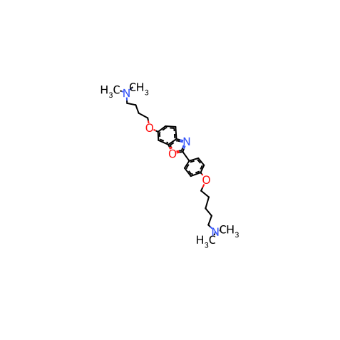 CN(C)CCCCCOc1ccc(-c2nc3ccc(OCCCCN(C)C)cc3o2)cc1